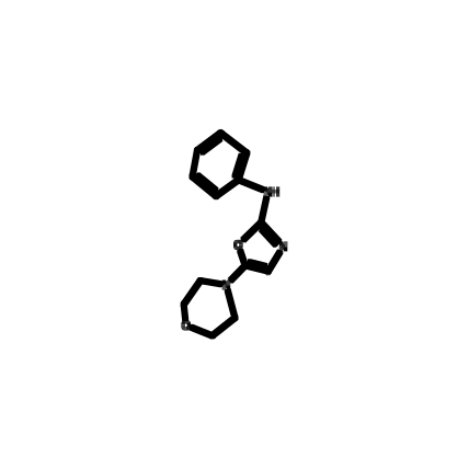 [c]1nc(Nc2ccccc2)oc1N1CCOCC1